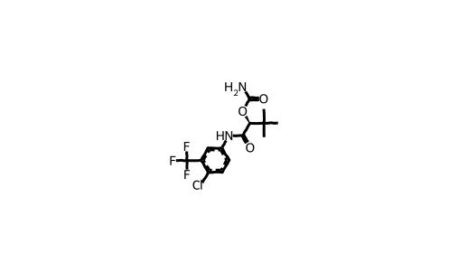 CC(C)(C)[C@H](OC(N)=O)C(=O)Nc1ccc(Cl)c(C(F)(F)F)c1